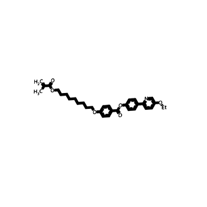 C=C(C)C(=O)OCCCCCCCCCOc1ccc(C(=O)Oc2ccc(-c3ccc(OCC)cn3)cc2)cc1